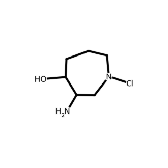 NC1CN(Cl)CCCC1O